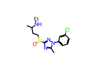 CCNC(C)CC[S+]([O-])c1nc(C)n(-c2cccc(Cl)c2)n1